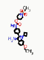 CCOc1ccc2c(N)c(-c3ccc(NC(=O)OC4CCN(S(=O)(=O)CC)CC4)cc3)n(C3CCC3)c2c1